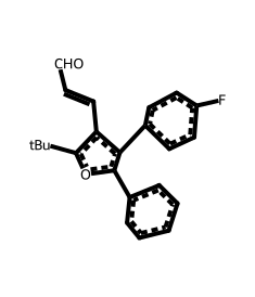 CC(C)(C)c1oc(-c2ccccc2)c(-c2ccc(F)cc2)c1C=CC=O